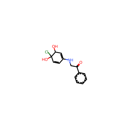 O=C(CNC1=CC(O)C(O)(Cl)C=C1)c1ccccc1